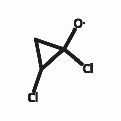 [O]C1(Cl)CC1Cl